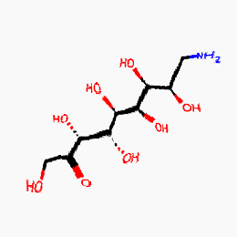 NC[C@@H](O)[C@H](O)[C@@H](O)[C@H](O)[C@H](O)[C@@H](O)C(=O)CO